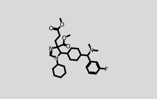 COC(=O)CCC1(C(=O)OC)N=CN(C2CCCCC2)C1C1CCC(C(c2cccc(F)c2)N(C)C)CC1